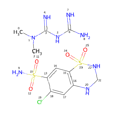 CN(C)C(=N)NC(=N)N.NS(=O)(=O)c1cc2c(cc1Cl)NCNS2(=O)=O